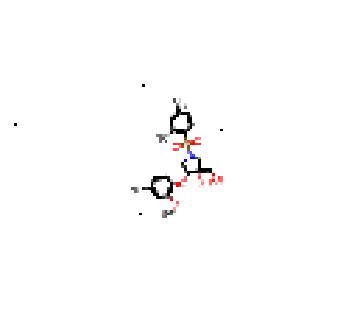 CC(C)Oc1cc(C#N)ccc1O[C@H]1CN(S(=O)(=O)c2ccc(C(F)(F)F)cc2C#N)C[C@@]1(O)CO